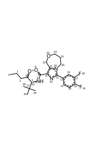 CCCC(=O)[C@@H](NC(=O)c1nc(-c2ccc(F)c(F)c2)n2c1COCCC2)C(C)(C)C